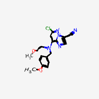 COCCN(Cc1ccc(OC)cc1)c1cc(Cl)nn2c(C#N)cnc12